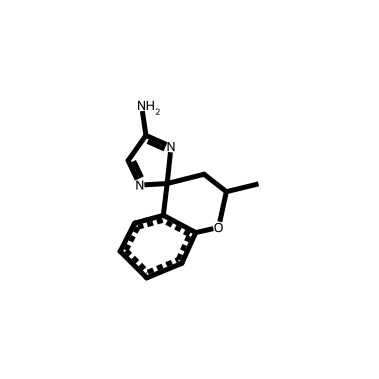 CC1CC2(N=CC(N)=N2)c2ccccc2O1